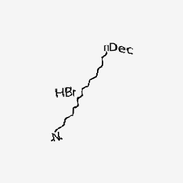 Br.CCCCCCCCCCCCCCCCCCCCCCCCCCN(C)C